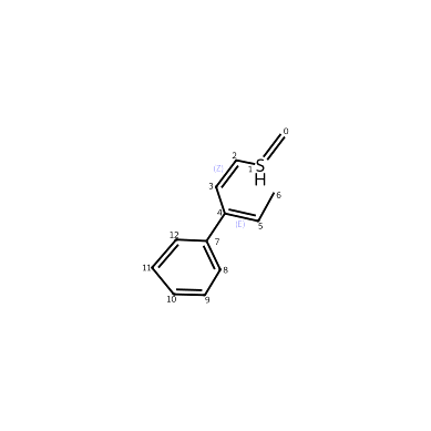 C=[SH]/C=C\C(=C/C)c1ccccc1